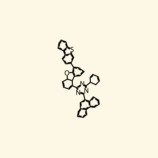 C1=CCC(c2nc(C3=CC=CC4Oc5c(-c6ccc7c(c6)sc6ccccc67)cccc5C34)nc(-c3cc4ccccc4c4ccccc34)n2)C=C1